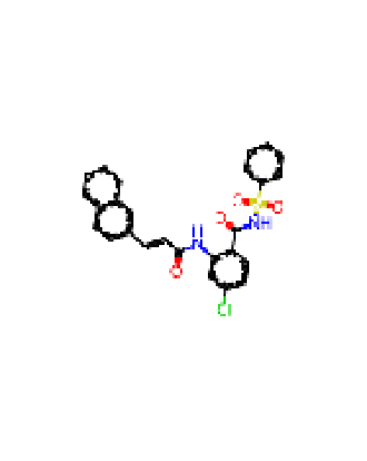 O=C(C=Cc1ccc2ccccc2c1)Nc1cc(Cl)ccc1C(=O)NS(=O)(=O)c1ccccc1